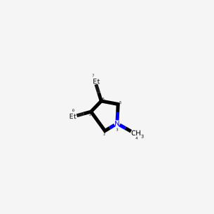 CCC1CN(C)CC1CC